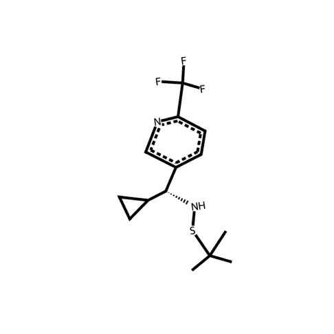 CC(C)(C)SN[C@@H](c1ccc(C(F)(F)F)nc1)C1CC1